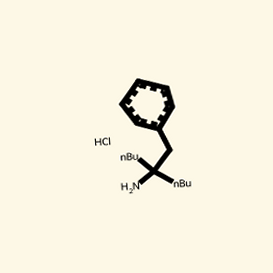 CCCCC(N)(CCCC)Cc1ccccc1.Cl